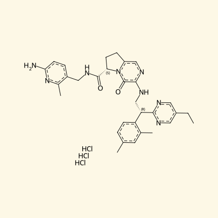 CCc1cnc([C@@H](CNc2ncc3n(c2=O)[C@H](C(=O)NCc2ccc(N)nc2C)CC3)c2ccc(C)cc2C)nc1.Cl.Cl.Cl